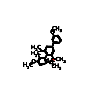 COc1cccc(-c2cc(C(C)C)c(-c3c(OC)ccc(OC)c3I)c(C(C)C)c2)c1